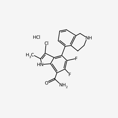 Cc1[nH]c2c(C(N)=O)c(F)c(F)c(-c3cccc4c3CCNC4)c2c1Cl.Cl